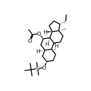 CC[C@H]1CC[C@H]2[C@@H]3[C@H](OC(C)=O)C[C@@H]4C[C@H](O[Si](C)(C)C(C)(C)C)CC[C@]4(C)[C@H]3CC[C@]12C